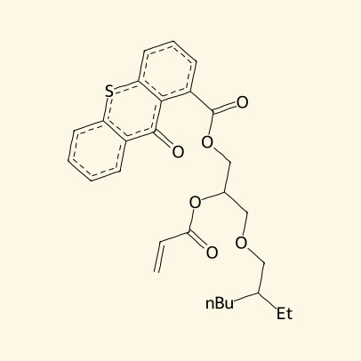 C=CC(=O)OC(COCC(CC)CCCC)COC(=O)c1cccc2sc3ccccc3c(=O)c12